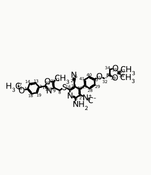 [C-]#[N+]c1c(N)nc(SCc2nc(-c3ccc(OC)cc3)oc2C)c(C#N)c1-c1ccc(OC[C@@H]2COC(C)(C)O2)cc1